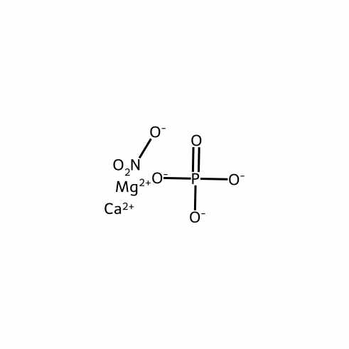 O=P([O-])([O-])[O-].O=[N+]([O-])[O-].[Ca+2].[Mg+2]